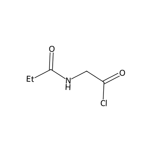 CCC(=O)NCC(=O)Cl